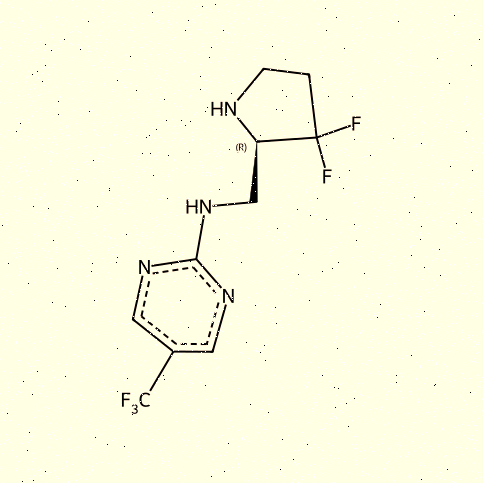 FC(F)(F)c1cnc(NC[C@H]2NCCC2(F)F)nc1